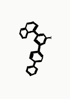 Ic1cc(-c2ccc(-c3ccccc3)cc2)cc(-c2cccc3ccccc23)c1